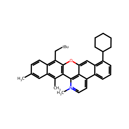 Cc1ccc2c(CC(C)(C)C)c3c(c(C)c2c1)-c1c2c(cc4c(C5CCCCC5)cccc4c2cc[n+]1C)O3